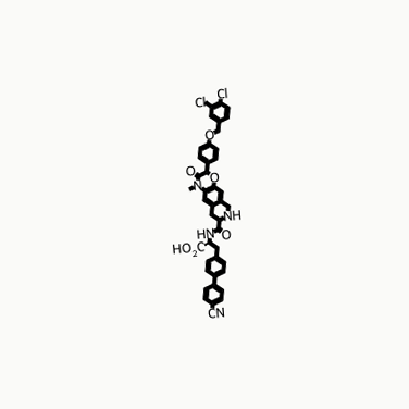 CN1C(=O)C(c2ccc(OCc3ccc(Cl)c(Cl)c3)cc2)Oc2cc3c(cc21)CC(C(=O)N[C@@H](Cc1ccc(-c2ccc(C#N)cc2)cc1)C(=O)O)NC3